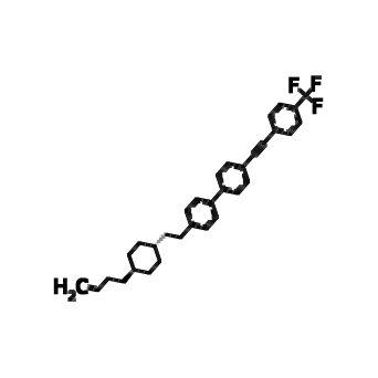 C=CCC[C@H]1CC[C@H](CCc2ccc(-c3ccc(C#Cc4ccc(C(F)(F)F)cc4)cc3)cc2)CC1